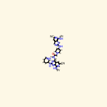 CC(C)Nc1nc(C#N)cc2cnc(NC3CCN(CC(=O)N(C)Cc4nc(N[C@@H]5CCCCNC5)nc5c(NC(C)C)nc(C#N)cc45)CC3)nc12